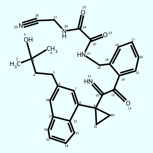 CC(C)(O)CCc1cc(C2(C(=N)C(=O)c3ccccc3CNC(=O)C(=O)NCC#N)CC2)c2ccccc2c1